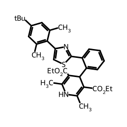 CCOC(=O)C1=C(C)NC(C)=C(C(=O)OCC)C1c1ccccc1-c1nc(-c2c(C)cc(C(C)(C)C)cc2C)cs1